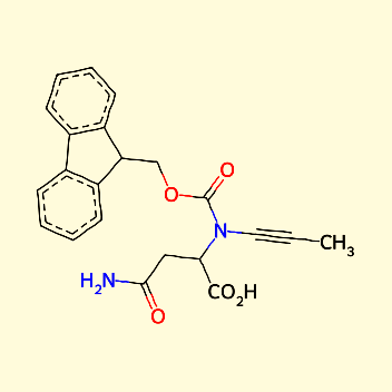 CC#CN(C(=O)OCC1c2ccccc2-c2ccccc21)C(CC(N)=O)C(=O)O